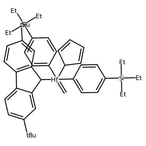 [CH2]=[Hf]([c]1ccc([Si](CC)(CC)CC)cc1)([c]1ccc([Si](CC)(CC)CC)cc1)([CH]1C=CC=C1)[CH]1c2cc(C(C)(C)C)ccc2-c2ccc(C(C)(C)C)cc21